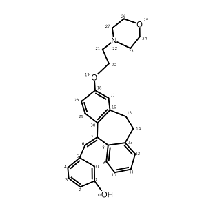 Oc1cccc(/C=C2\c3ccccc3CCc3cc(OCCN4CCOCC4)ccc32)c1